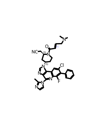 Cc1nccn1-c1nc2c(F)c(-c3ccccc3)c(Cl)cc2c2c1ncn2[C@H]1CCN(C(=O)/C=C/CN(C)C)[C@H](CC#N)C1